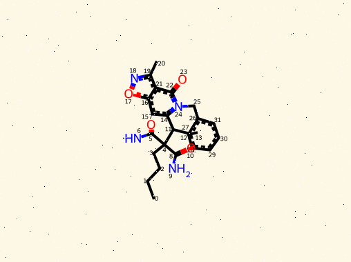 CCCCC(C([NH])=O)(C(N)=O)C(CC)c1cc2onc(C)c2c(=O)n1Cc1ccccc1